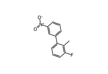 Cc1c(F)cccc1-c1cc[c]c([N+](=O)[O-])c1